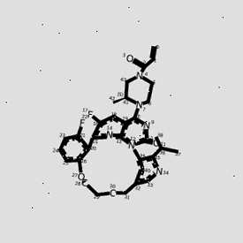 C=CC(=O)N1CCN(c2nc(=O)n3c4nc(c(F)cc24)-c2c(F)cccc2OCCCCc2cnc(C(C)C)c-3c2)[C@@H](C)C1